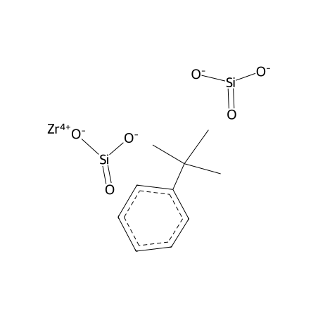 CC(C)(C)c1ccccc1.O=[Si]([O-])[O-].O=[Si]([O-])[O-].[Zr+4]